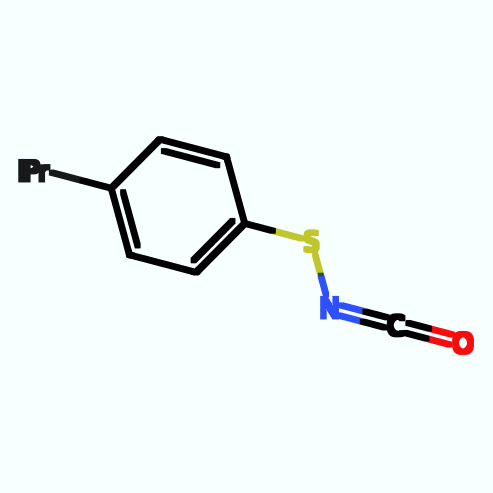 CC(C)c1ccc(SN=C=O)cc1